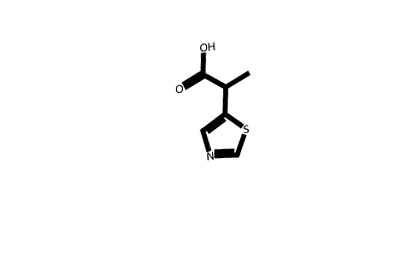 CC(C(=O)O)c1cncs1